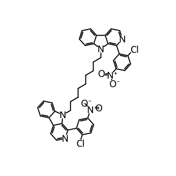 O=[N+]([O-])c1ccc(Cl)c(-c2nccc3c4ccccc4n(CCCCCCCCCn4c5ccccc5c5ccnc(-c6cc([N+](=O)[O-])ccc6Cl)c54)c23)c1